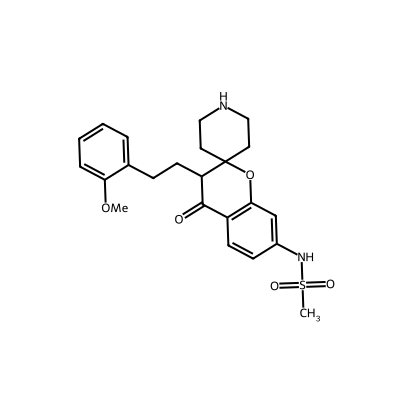 COc1ccccc1CCC1C(=O)c2ccc(NS(C)(=O)=O)cc2OC12CCNCC2